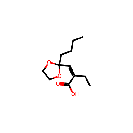 CCCCC1(C=C(CC)C(=O)O)OCCO1